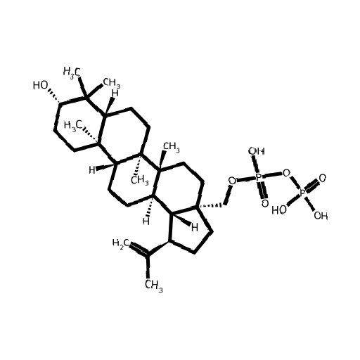 C=C(C)[C@@H]1CC[C@]2(COP(=O)(O)OP(=O)(O)O)CC[C@]3(C)[C@H](CC[C@@H]4[C@@]5(C)CC[C@H](O)C(C)(C)[C@@H]5CC[C@]43C)[C@@H]12